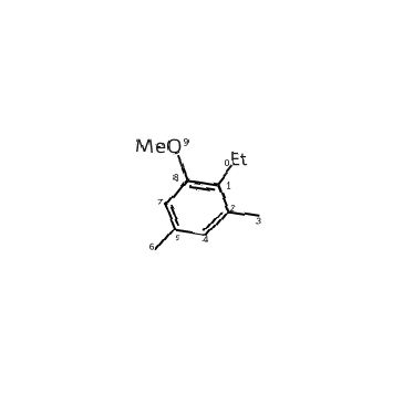 CCc1c(C)cc(C)cc1OC